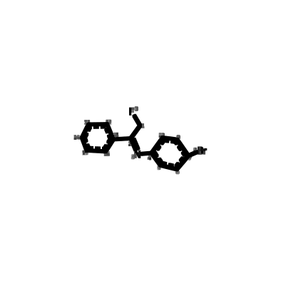 FCC(=Nc1ccc(Br)cc1)c1ccccc1